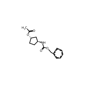 CC(=O)O[C@H]1CC[C@H](NC(=O)OCc2ccccc2)C1